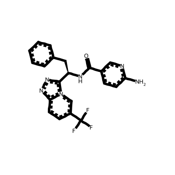 Nc1ccc(C(=O)N[C@H](Cc2ccccc2)c2nnc3ccc(C(F)(F)F)cn23)cn1